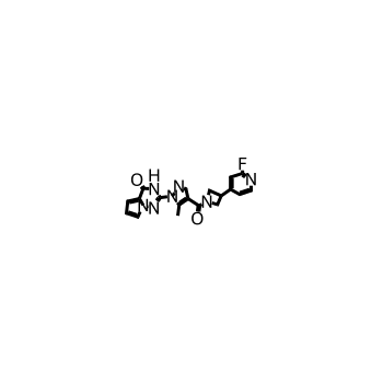 Cc1c(C(=O)N2CC(c3ccnc(F)c3)C2)cnn1-c1nn2cccc2c(=O)[nH]1